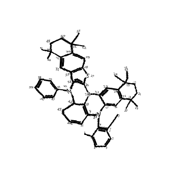 Cc1cccc(C)c1N1C2=C3B(c4cc5c(cc41)C(C)(C)CCC5(C)C)c1sc4cc5c(cc4c1N(c1ccccc1)C3CC=C2)C(C)(C)CCC5(C)C